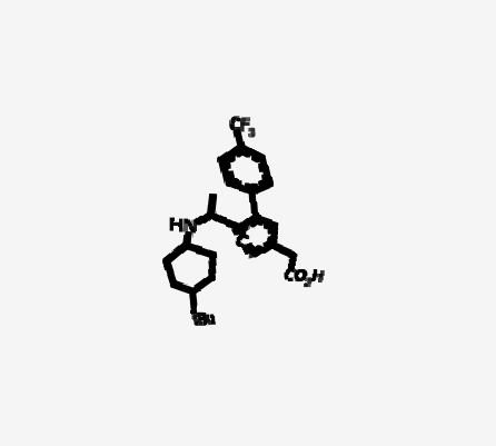 CC(NC1CCC(C(C)(C)C)CC1)c1ccc(CC(=O)O)cc1-c1ccc(C(F)(F)F)cc1